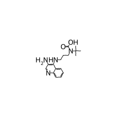 CC(C)(C)N(CCCNc1c(N)cnc2ccccc12)C(=O)O